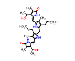 CC1=C(C(C)O)/C(=C/c2[nH]c(Cc3[nH]c(/C=C4\NC(=O)C(C)=C4C(C)O)c(C)c3CCC(=O)O)c(CCC(=O)O)c2C)NC1=O